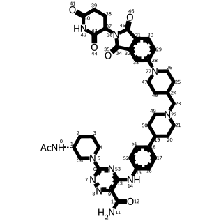 CC(=O)N[C@@H]1CCCN(c2nnc(C(N)=O)c(Nc3ccc(C4CCN(CC5CCN(c6ccc7c(c6)C(=O)N(C6CCC(=O)NC6=O)C7=O)CC5)CC4)cc3)n2)C1